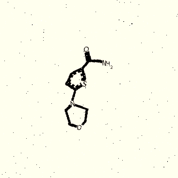 NC(=O)c1ccc(N2CCOCC2)s1